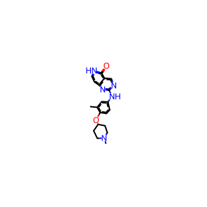 Cc1cc(Nc2ncc3c(=O)[nH]ccc3n2)ccc1OC1CCN(C)CC1